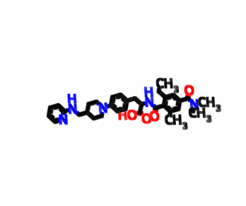 CCc1cc(C(=O)N(C)C)cc(C)c1C(=O)NC(Cc1ccc(N2CCC(CNc3ccccn3)CC2)cc1)C(=O)O